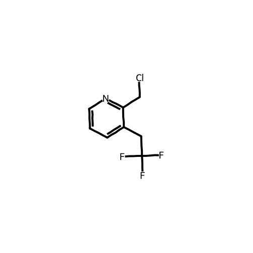 FC(F)(F)Cc1cccnc1CCl